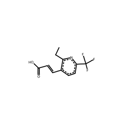 CCc1nc(C(F)(F)F)ccc1C=CC(=O)O